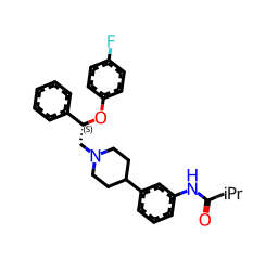 CC(C)C(=O)Nc1cccc(C2CCN(C[C@@H](Oc3ccc(F)cc3)c3ccccc3)CC2)c1